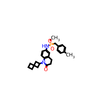 COP(=O)(Cc1ccc(C)cc1)Nc1ccc2c(c1)CCC(=O)N2C1CC2(CCC2)C1